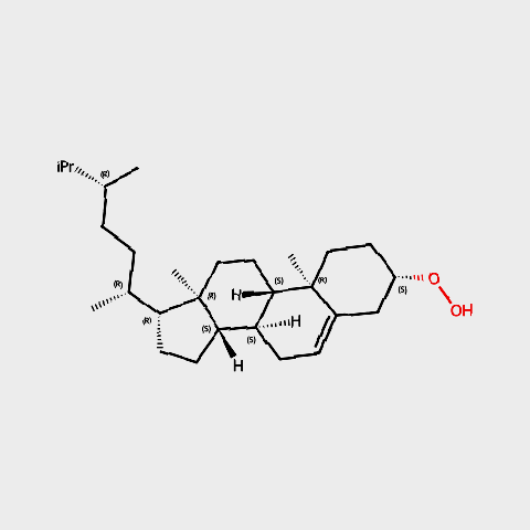 CC(C)[C@H](C)CC[C@@H](C)[C@H]1CC[C@H]2[C@@H]3CC=C4C[C@@H](OO)CC[C@]4(C)[C@H]3CC[C@]12C